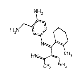 CC1=C(C(=N\c2ccc(N)c(CN)c2)/C(=C/N)C(=N)C(F)(F)F)CCCC1